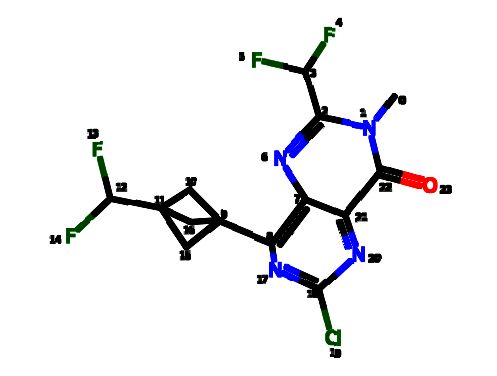 Cn1c(C(F)F)nc2c(C34CC(C(F)F)(C3)C4)nc(Cl)nc2c1=O